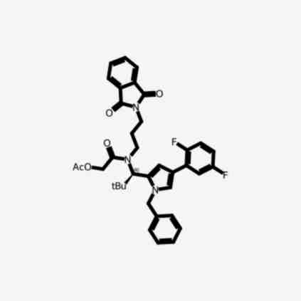 CC(=O)OCC(=O)N(CCCN1C(=O)c2ccccc2C1=O)[C@@H](c1cc(-c2cc(F)ccc2F)cn1Cc1ccccc1)C(C)(C)C